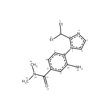 CCC(CC)c1nccn1-c1ccc(C(=O)N(C)C)cc1N